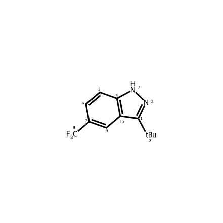 CC(C)(C)c1n[nH]c2ccc(C(F)(F)F)cc12